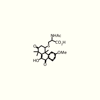 COc1ccc2c(c1)C1(C)C(=C(O)C2=O)C(C)(C)C(=O)CC1SCC(NC(C)=O)C(=O)O